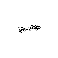 Cc1cccc(S(=O)(=O)N2CCC3(CC2)CC(NCC(O)COc2cccc(S(C)(=O)=O)c2)CO3)c1